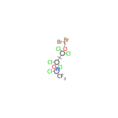 CC(C)(c1cc(Cl)c(OCC=C(Br)Br)c(Cl)c1)c1cc(Cl)c(Oc2ncc(C(F)(F)F)cc2Cl)c(Cl)c1